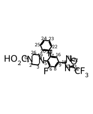 O=C(O)N1CCN(c2c(F)cc(-c3noc(C(F)(F)F)n3)cc2F)[C@@H](c2ccccc2)C1